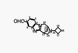 O=Cc1ccc2c(c1)nc1n2CC2CC1CN2C1CCC1